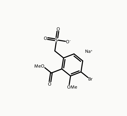 COC(=O)c1c(CS(=O)(=O)[O-])ccc(Br)c1OC.[Na+]